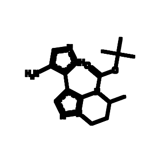 CC1CCn2ncc(-c3[nH]ncc3N)c2N1C(=O)OC(C)(C)C